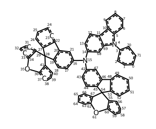 c1ccc(-n2c3ccccc3c3ccc(N(c4ccc5c(c4)-c4ccccc4C54c5ccccc5Oc5ccccc54)c4ccc5c(c4)-c4ccccc4C54c5ccccc5Oc5ccccc54)cc32)cc1